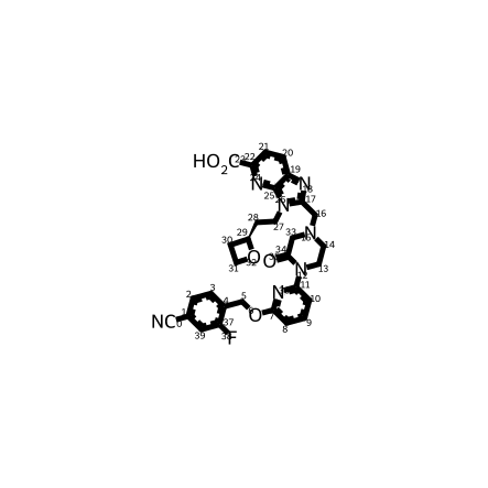 N#Cc1ccc(COc2cccc(N3CCN(Cc4nc5ccc(C(=O)O)nc5n4CC[C@@H]4CCO4)CC3=O)n2)c(F)c1